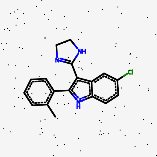 Cc1ccccc1-c1[nH]c2ccc(Cl)cc2c1C1=NCCN1